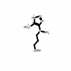 COCCCN(N)c1nn[nH]c1C(=O)O